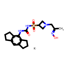 CC(CN1CC(S(=O)(=O)NC(=O)Nc2c3c(cc4c2CCC4)CCC3)C1)=NO.[K]